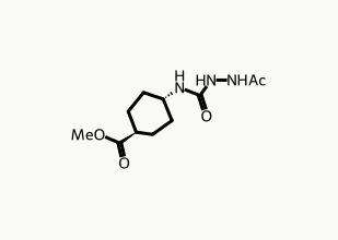 COC(=O)[C@H]1CC[C@H](NC(=O)NNC(C)=O)CC1